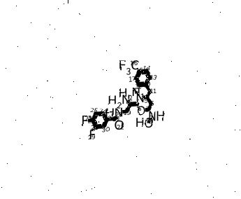 N/C(=C\N(N)C(CC(=O)NO)Cc1ccc(C(F)(F)F)cc1)CNC(=O)c1ccc(F)c(F)c1